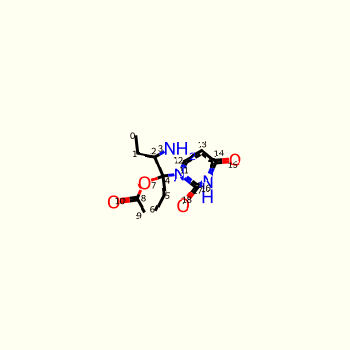 CCC(N)C(CC)(OC(C)=O)n1ccc(=O)[nH]c1=O